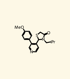 COc1ccc(-c2cnccc2C2SCC(=O)N2CC(C)C)cc1